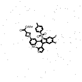 COC(=O)C1CN(c2cccc(-c3c(-c4ccsc4C#N)c4cc(F)c(F)cc4n3S(=O)(=O)c3ccc(C)cc3)c2)C1